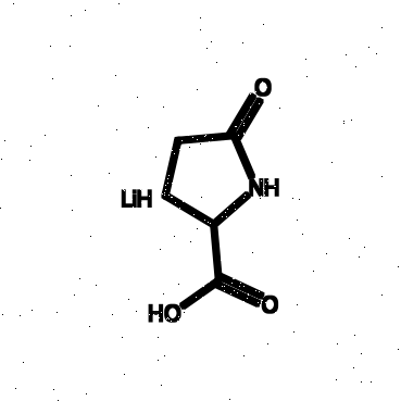 O=C1CCC(C(=O)O)N1.[LiH]